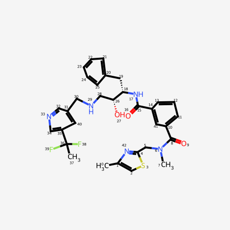 Cc1csc(CN(C)C(=O)c2cccc(C(=O)N[C@@H](Cc3ccccc3)[C@H](O)CNCc3cncc(C(C)(F)F)c3)c2)n1